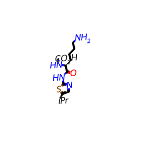 CC(C)c1cnc(NC(=O)[C@H](CCCCN)NC(=O)O)s1